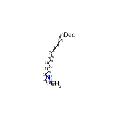 CCCCCCCCCCCCC#CC#CCCCCCCCCC[n+]1ccn(C)c1